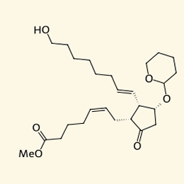 COC(=O)CCC/C=C\C[C@H]1C(=O)C[C@@H](OC2CCCCO2)[C@H]1C=CCCCCCCO